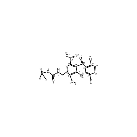 COc1c(CNC(=O)OC(C)(C)C)cc([N+](=O)[O-])c(C(=O)c2cc(F)ccc2Cl)c1Br